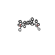 c1ccc(-c2ccccc2N(c2ccc(C3CCCCC3)cc2)c2ccc3c4cc5c(cc4n4c6ccccc6c2c34)c2ccc(N(c3ccc(C4CCCCC4)cc3)c3ccccc3-c3ccccc3)c3c4ccccc4n5c23)cc1